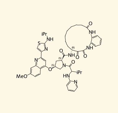 COc1ccc2c(O[C@H]3C[C@@H](C(=O)N[C@@H]4CCCCCCCC(=O)Nc5ccccc5NC(=O)C4=O)N(C(=O)C(Nc4ccccn4)C(C)C)C3)cc(-c3csc(NC(C)C)n3)nc2c1